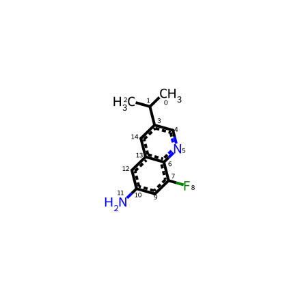 CC(C)c1cnc2c(F)cc(N)cc2c1